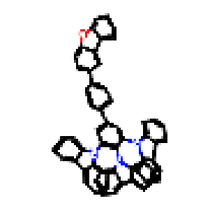 c1ccc2c(c1)oc1ccc(-c3ccc(-c4cc(-n5c6ccccc6c6ccccc65)c(-n5c6ccccc6c6ccccc65)c(-n5c6ccccc6c6ccccc65)c4)cc3)cc12